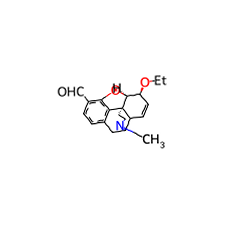 CCO[C@H]1C=CC2C3Cc4ccc(C=O)c5c4[C@@]2(CCN3C)[C@H]1O5